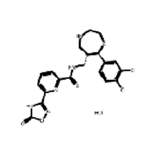 Cl.O=C(NC[C@@H]1CNCCO[C@H]1c1ccc(Cl)c(Cl)c1)c1cccc(-c2noc(=O)[nH]2)n1